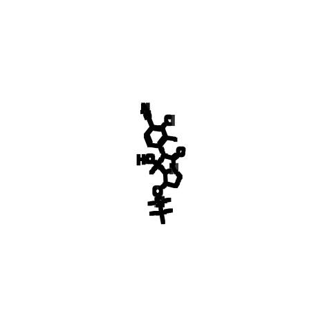 Cc1c(C2C(=O)N3CCC(O[Si](C)(C)C(C)(C)C)C3C2(C)O)ccc(C#N)c1Cl